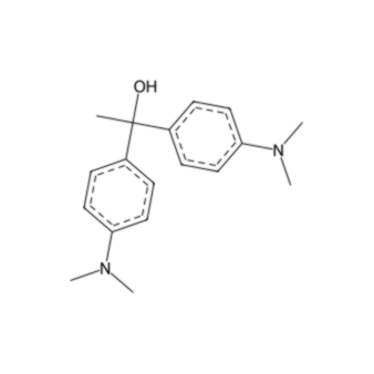 CN(C)c1ccc(C(C)(O)c2ccc(N(C)C)cc2)cc1